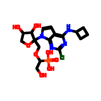 O=P(O)(O)C(CO)OCC1(n2ccc3c(NC4CCC4)nc(Cl)nc32)OCC(O)C1O